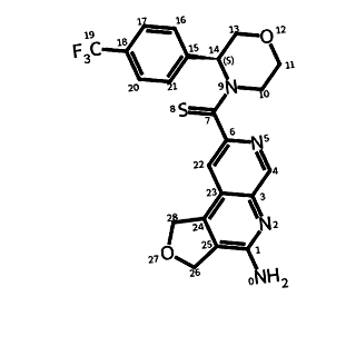 Nc1nc2cnc(C(=S)N3CCOC[C@@H]3c3ccc(C(F)(F)F)cc3)cc2c2c1COC2